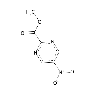 COC(=O)c1ncc([N+](=O)[O-])cn1